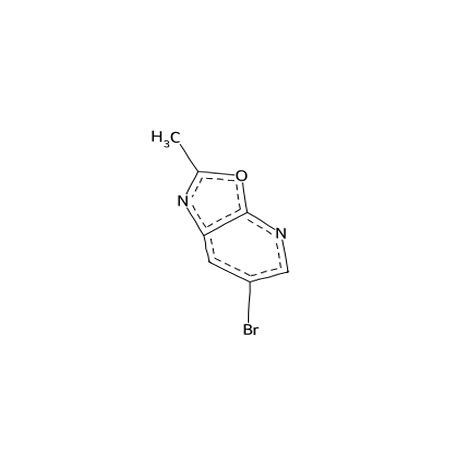 Cc1nc2cc(Br)cnc2o1